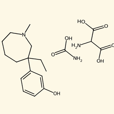 CCC1(c2cccc(O)c2)CCCCN(C)C1.NC(=O)O.NC(C(=O)O)C(=O)O